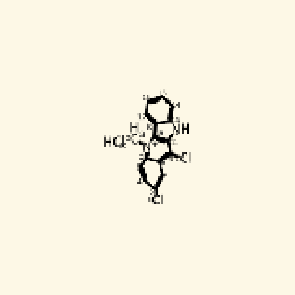 C[n+]1c2ccc(Cl)cc2c(Cl)c2[nH]c3ccccc3c21.Cl